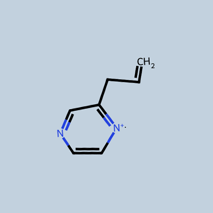 C=CCC1=[N+]C=CN=C1